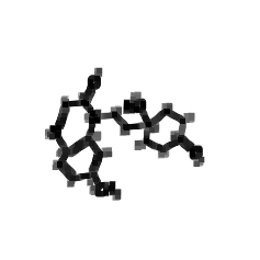 Cc1ccc2ncc(=O)n(CCC3(O)CCC(=O)CC3)c2c1